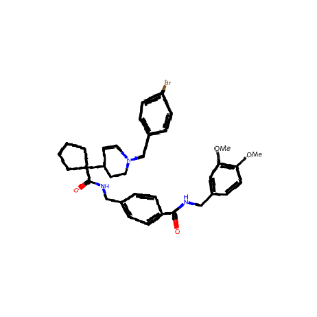 COc1ccc(CNC(=O)c2ccc(CNC(=O)C3(C4CCN(Cc5ccc(Br)cc5)CC4)CCCC3)cc2)cc1OC